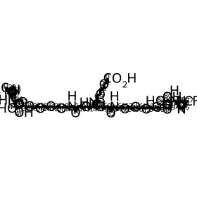 O=C(O)COCCOCC(=O)NC(COCCC(=O)NCCOCCOCCOCCOC[C@H]1OC[C@H](Nc2cncc(C(F)(F)F)n2)[C@@H](O)[C@H]1O)COCCC(=O)NCCOCCOCCOCCOC[C@H]1OC[C@H](Nc2cncc(C(F)(F)F)n2)[C@@H](O)[C@H]1O